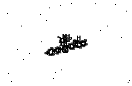 Cc1cc(C[C@@H](NC(=O)N2CCC(N3CCc4ccccc4NC3=O)CC2)C(=O)N2CCC(N3CCN(C)CC3)CC2)cc(Cl)c1N